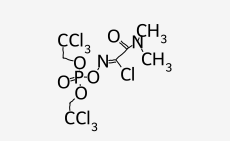 CN(C)C(=O)C(Cl)=NOP(=O)(OCC(Cl)(Cl)Cl)OCC(Cl)(Cl)Cl